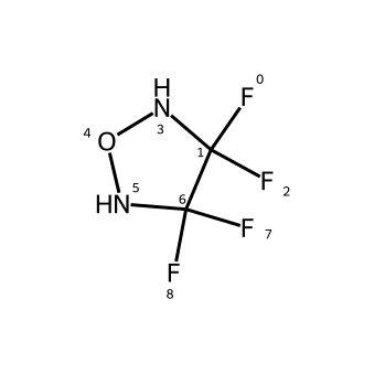 FC1(F)NONC1(F)F